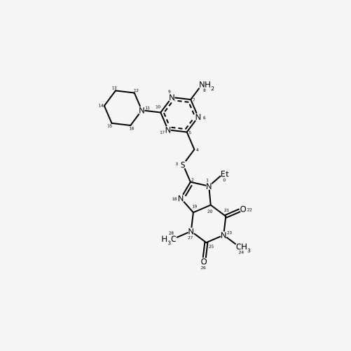 CCN1C(SCc2nc(N)nc(N3CCCCC3)n2)=NC2C1C(=O)N(C)C(=O)N2C